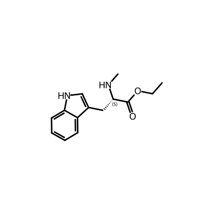 CCOC(=O)[C@H](Cc1c[nH]c2ccccc12)NC